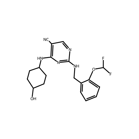 N#Cc1cnc(NCc2ccccc2OC(F)F)nc1NC1CCC(O)CC1